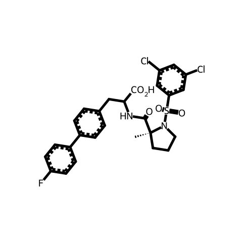 C[C@@]1(C(=O)NC(Cc2ccc(-c3ccc(F)cc3)cc2)C(=O)O)CCCN1S(=O)(=O)c1cc(Cl)cc(Cl)c1